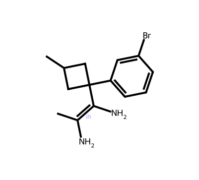 C/C(N)=C(/N)C1(c2cccc(Br)c2)CC(C)C1